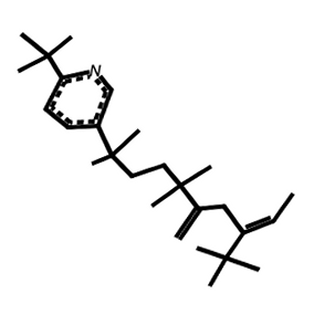 C=C(C/C(=C\C)C(C)(C)C)C(C)(C)CCC(C)(C)c1ccc(C(C)(C)C)nc1